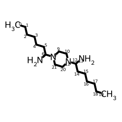 CCCCCCC(N)N1CCN(C(N)CCCCCC)CC1